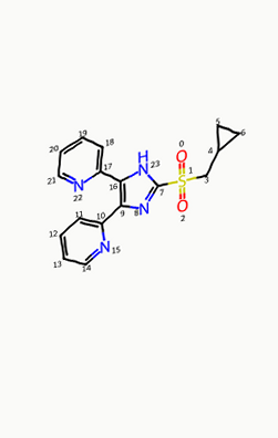 O=S(=O)(CC1CC1)c1nc(-c2ccccn2)c(-c2ccccn2)[nH]1